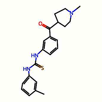 Cc1cccc(NC(=S)Nc2cccc(C(=O)C3CCN(C)CC3)c2)c1